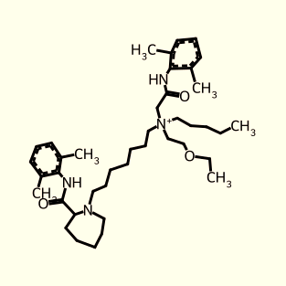 CCCCC[N+](CCCCCCCN1CCCCCC1C(=O)Nc1c(C)cccc1C)(CCOCC)CC(=O)Nc1c(C)cccc1C